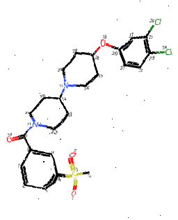 CS(=O)(=O)c1cccc(C(=O)N2CCC(N3CCC(Oc4ccc(Cl)c(Cl)c4)CC3)CC2)c1